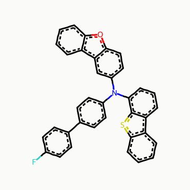 Fc1ccc(-c2ccc(N(c3ccc4oc5ccccc5c4c3)c3cccc4c3sc3ccccc34)cc2)cc1